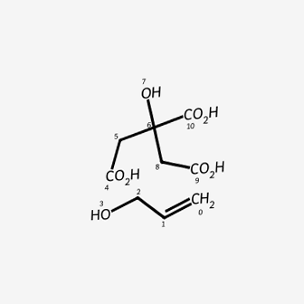 C=CCO.O=C(O)CC(O)(CC(=O)O)C(=O)O